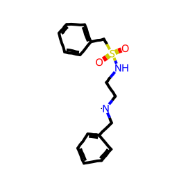 O=S(=O)(Cc1ccccc1)NCC[N]Cc1ccccc1